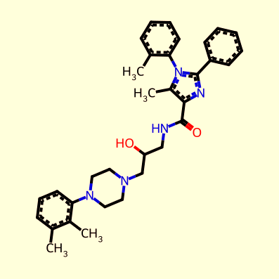 Cc1ccccc1-n1c(-c2ccccc2)nc(C(=O)NCC(O)CN2CCN(c3cccc(C)c3C)CC2)c1C